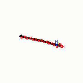 CCC(C)C(=O)CCOCCOCCOCCOCCOCCOCCOCCOCCOCCOCCOCCOCCNC(=O)C(CC(=O)O)SC